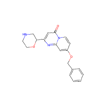 O=c1cc(C2CNCCO2)nc2cc(OCc3ccccc3)ccn12